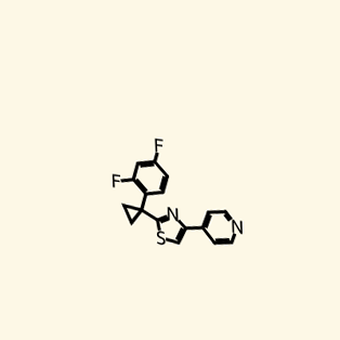 Fc1ccc(C2(c3nc(-c4ccncc4)cs3)CC2)c(F)c1